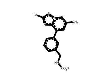 Cc1cc(-c2cccc(CNC(=O)O)c2)c2nc(Br)nn2c1